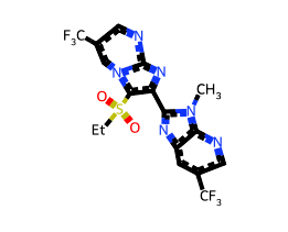 CCS(=O)(=O)c1c(-c2nc3cc(C(F)(F)F)cnc3n2C)nc2ncc(C(F)(F)F)cn12